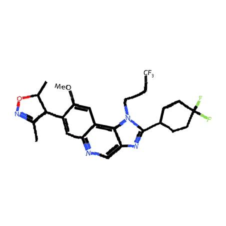 COc1cc2c(cc1C1C(C)=NOC1C)ncc1nc(C3CCC(F)(F)CC3)n(CCC(F)(F)F)c12